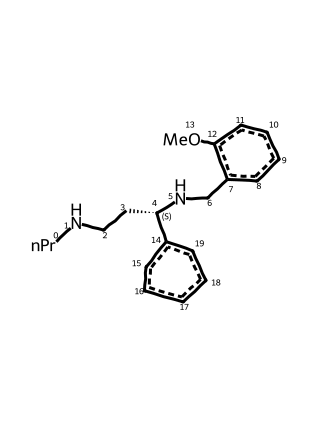 CCCNCC[C@H](NCc1ccccc1OC)c1ccccc1